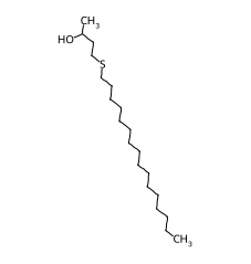 CCCCCCCCCCCCCCCCSCCC(C)O